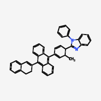 CC1C=C(c2c3ccccc3c(C3=Cc4ccccc4CC3)c3ccccc23)C=CC1c1nc2ccccc2n1-c1ccccc1